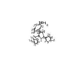 Cc1ccc(C2CC(Cc3cccc(C)c3)C(C3CCCC(N)C3)C2)cc1